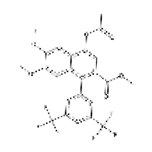 COC(=O)c1cc(OC(C)=O)c2cc(OC)c(OC)cc2c1-c1cc(C(F)(F)F)cc(C(F)(F)F)c1